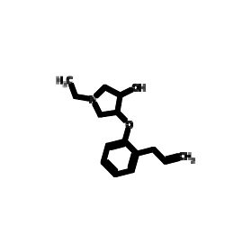 C=CCc1ccccc1OC1CN(CC)CC1O